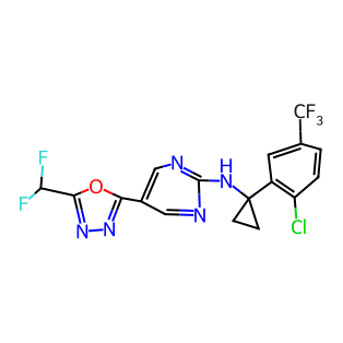 FC(F)c1nnc(-c2cnc(NC3(c4cc(C(F)(F)F)ccc4Cl)CC3)nc2)o1